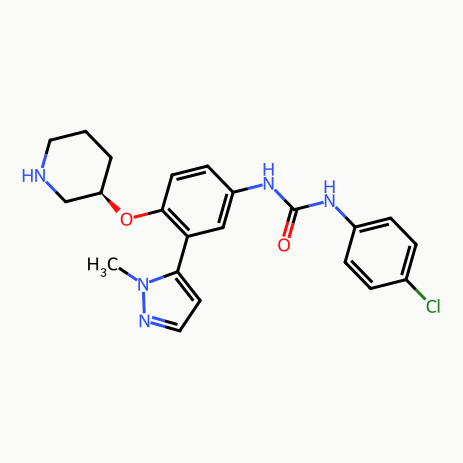 Cn1nccc1-c1cc(NC(=O)Nc2ccc(Cl)cc2)ccc1O[C@@H]1CCCNC1